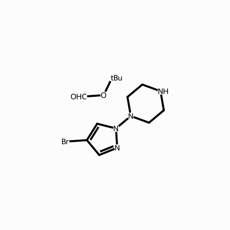 Brc1cnn(N2CCNCC2)c1.CC(C)(C)OC=O